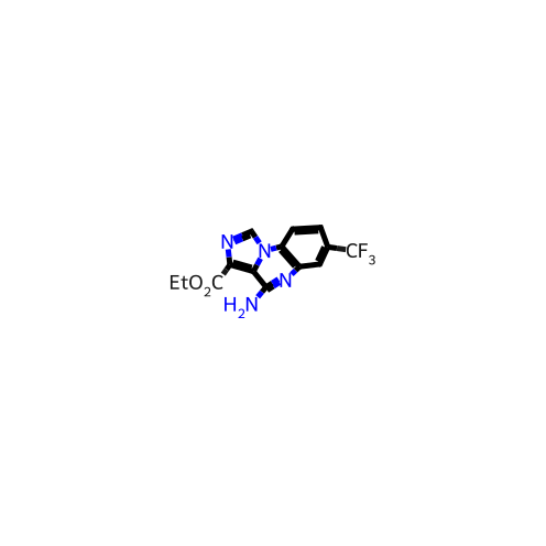 CCOC(=O)c1ncn2c1c(N)nc1cc(C(F)(F)F)ccc12